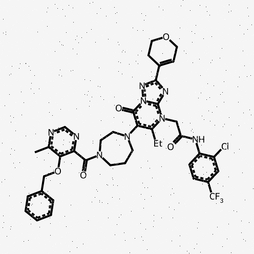 CCc1c(N2CCCN(C(=O)c3ncnc(C)c3OCc3ccccc3)CC2)c(=O)n2nc(C3=CCOCC3)nc2n1CC(=O)Nc1ccc(C(F)(F)F)cc1Cl